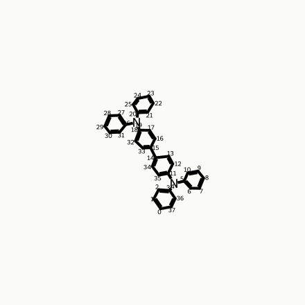 c1ccc(N(c2ccccc2)c2ccc(-c3ccc(N(c4ccccc4)c4ccccc4)cc3)cc2)cc1